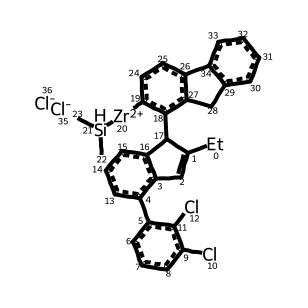 CCC1=Cc2c(-c3cccc(Cl)c3Cl)cccc2C1c1[c]([Zr+2][SiH](C)C)ccc2c1Cc1ccccc1-2.[Cl-].[Cl-]